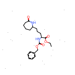 CCOC(=O)C(CCCC1CCCCC(=O)N1)NC(=O)OCc1ccccc1